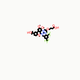 COc1cc(CN(Cc2cc(C(F)(F)F)cc(C(F)(F)F)c2)c2ncc(OCCCC(=O)O)cn2)c(-c2cc(C(C)(C)O)ccc2OC)cc1OC